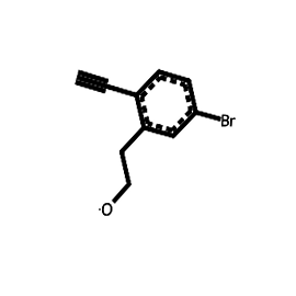 C#Cc1ccc(Br)cc1CC[O]